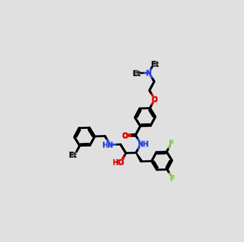 CCc1cccc(CNC[C@H](O)[C@H](Cc2cc(F)cc(F)c2)NC(=O)c2ccc(OCCN(CC)CC)cc2)c1